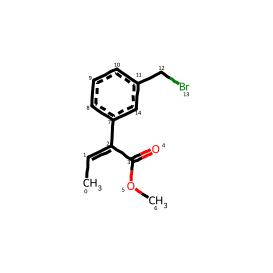 CC=C(C(=O)OC)c1cccc(CBr)c1